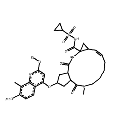 CCOc1cc(OC2CC3C(=O)NC4(C(=O)NS(=O)(=O)C5CC5)CC4C=CCCCCN(C)C(=O)C3C2)c2ccc(OC)c(C)c2n1